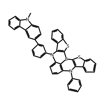 Cn1c2ccccc2c2cc(-c3cccc(N4c5cccc6c5B(c5sc7ccccc7c5N6c5ccccc5)c5sc6ccccc6c54)c3)ccc21